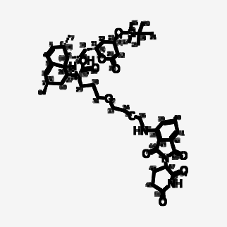 C[C@H]1C=C2C=C[C@H](C)[C@H](CC[C@@H]3C[C@@H](O[Si](C)(C)C(C)(C)C)CC(=O)O3)[C@H]2[C@@H](N(CCCOCCCCNc2cccc3c2C(=O)N(C2CCC(=O)NC2=O)C3=O)C(=O)O)C1